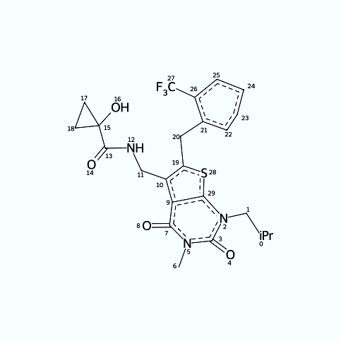 CC(C)Cn1c(=O)n(C)c(=O)c2c(CNC(=O)C3(O)CC3)c(Cc3ccccc3C(F)(F)F)sc21